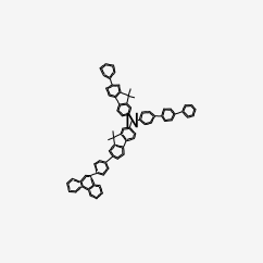 CC1(C)c2cc(-c3ccccc3)ccc2-c2ccc(N(c3ccc(-c4ccc(-c5ccccc5)cc4)cc3)c3ccc4c(c3)C(C)(C)c3cc(-c5ccc(-c6cc7ccccc7c7ccccc67)cc5)ccc3-4)cc21